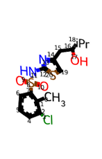 Cc1c(Cl)cccc1S(=O)(=O)Nc1nc(CC(O)C(C)C)cs1